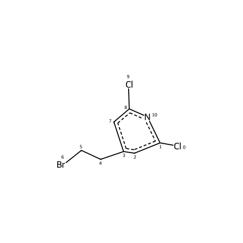 Clc1cc(CCBr)cc(Cl)n1